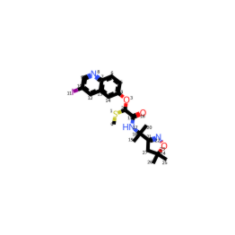 CSC(Oc1ccc2ncc(I)cc2c1)C(=O)NC(C)(C)C1=NOC(C)(C)C1